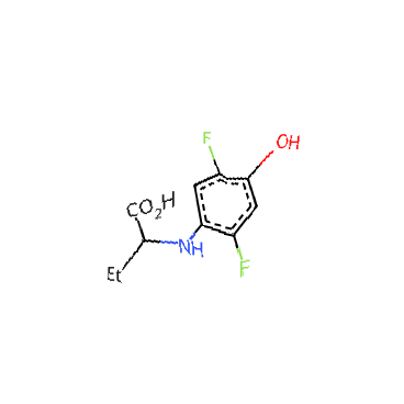 CCC(Nc1cc(F)c(O)cc1F)C(=O)O